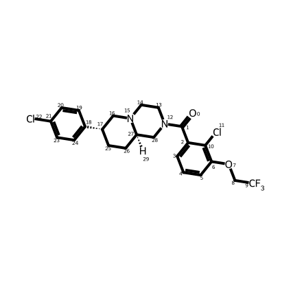 O=C(c1cccc(OCC(F)(F)F)c1Cl)N1CCN2C[C@@H](c3ccc(Cl)cc3)CC[C@@H]2C1